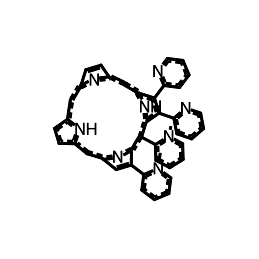 C[n+]1ccccc1C1=Cc2cc3ccc(cc4nc(cc5[nH]c(c(-c6cccc[n+]6C)c1n2)c(-c1ccccn1)c5-c1ccccn1)C=C4)[nH]3